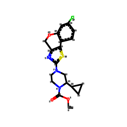 CC(C)(C)OC(=O)N1CCN(c2nc3c(s2)-c2ccc(Cl)cc2OC3)CC1C1CC1